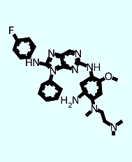 COc1cc(N(C)CCN(C)C)c(N)cc1Nc1ncc2nc(Nc3ccc(F)cc3)n(-c3ccccc3)c2n1